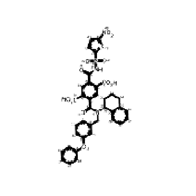 O=C(O)c1cc(C(=O)N(Cc2cccc(Oc3ccccc3)c2)[C@H]2CCCc3ccccc32)c(C(=O)O)cc1C(=O)NS(=O)(=O)c1ccc([N+](=O)[O-])s1